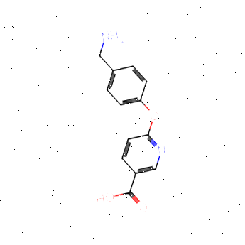 NCc1ccc(Oc2ccc(C(=O)O)cn2)cc1